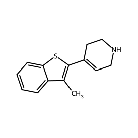 Cc1c(C2=CCNCC2)sc2ccccc12